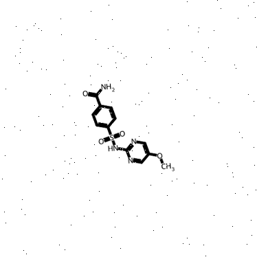 COc1cnc(NS(=O)(=O)c2ccc(C(N)=O)cc2)nc1